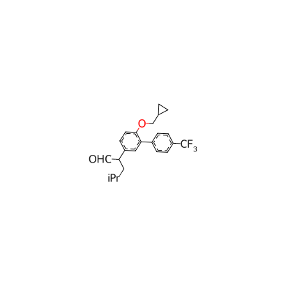 CC(C)CC(C=O)c1ccc(OCC2CC2)c(-c2ccc(C(F)(F)F)cc2)c1